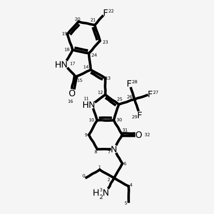 CCC(N)(CC)CN1CCc2[nH]c(C=C3C(=O)Nc4ccc(F)cc43)c(C(F)(F)F)c2C1=O